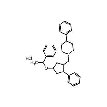 CC(OC1CC(CN2CCC(c3ccccc3)CC2)C(c2ccccc2)C1)c1ccccc1.Cl